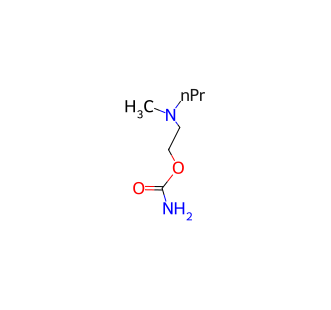 [CH2]CCN(C)CCOC(N)=O